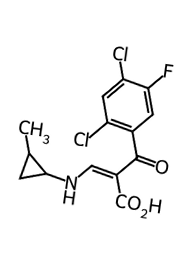 CC1CC1NC=C(C(=O)O)C(=O)c1cc(F)c(Cl)cc1Cl